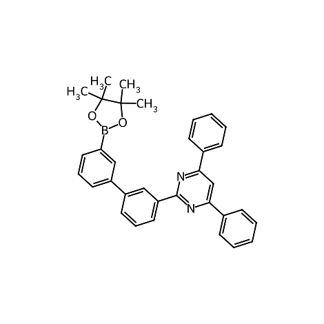 CC1(C)OB(c2cccc(-c3cccc(-c4nc(-c5ccccc5)cc(-c5ccccc5)n4)c3)c2)OC1(C)C